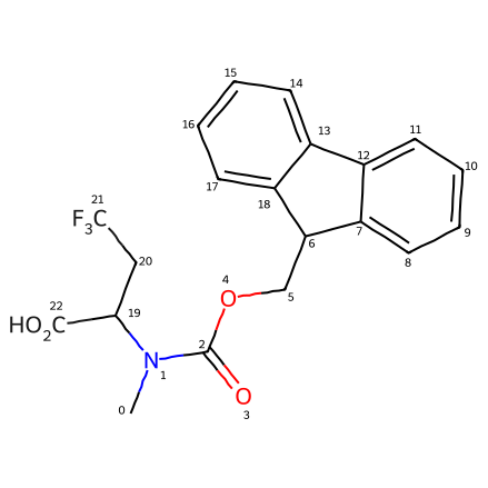 CN(C(=O)OCC1c2ccccc2-c2ccccc21)C(CC(F)(F)F)C(=O)O